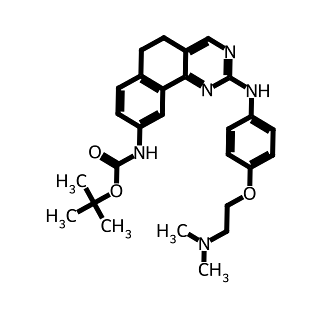 CN(C)CCOc1ccc(Nc2ncc3c(n2)-c2cc(NC(=O)OC(C)(C)C)ccc2CC3)cc1